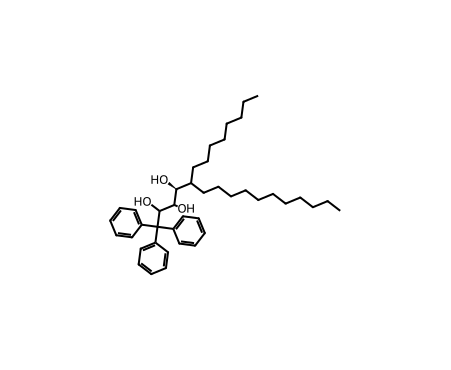 CCCCCCCCCCCC(CCCCCCCC)[C@H](O)C(O)C(O)C(c1ccccc1)(c1ccccc1)c1ccccc1